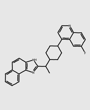 CC(c1nc2c(ccc3ccccc32)[nH]1)C1CCC(c2ccnc3ccc(F)cc23)CC1